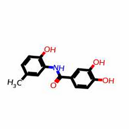 Cc1ccc(O)c(NC(=O)c2ccc(O)c(O)c2)c1